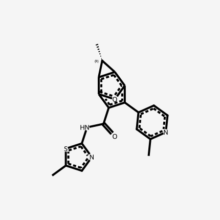 Cc1cc(-c2c(C(=O)Nc3ncc(C)s3)c3oc2c2c3[C@@H]2C)ccn1